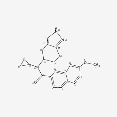 COc1ccc2ccc(C(=O)N(C3CC3)C3CCc4n[nH]cc4C3)cc2c1